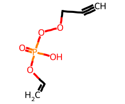 C#CCOOP(=O)(O)OC=C